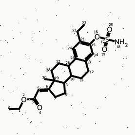 CCOC(=O)C=C1CCC2C3CCc4cc(OS(N)(=O)=O)c(CC)cc4C3CCC12C